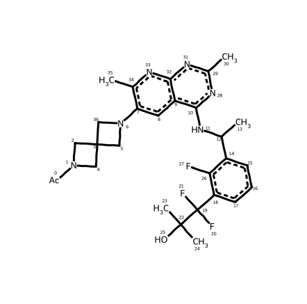 CC(=O)N1CC2(C1)CN(c1cc3c(NC(C)c4cccc(C(F)(F)C(C)(C)O)c4F)nc(C)nc3nc1C)C2